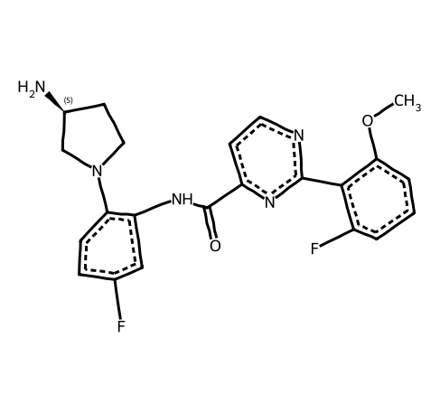 COc1cccc(F)c1-c1nccc(C(=O)Nc2cc(F)ccc2N2CC[C@H](N)C2)n1